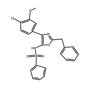 COc1cc(-c2nc(Cc3ccccc3)oc2NS(=O)(=O)c2ccccc2)ccc1Cl